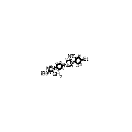 C=C1N(c2ccc(N3CCN(c4ccc(CC)cc4C#N)CC3)cc2)C=NN1C(C)CC